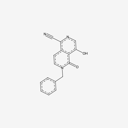 N#Cc1ncc(O)c2c(=O)n(Cc3ccccc3)ccc12